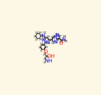 CNCC(O)COc1cccc(-c2nc(-c3cnc4c(C(=O)N(C)C)cnn4c3)cc(N(C)C3CCCCC3)n2)c1